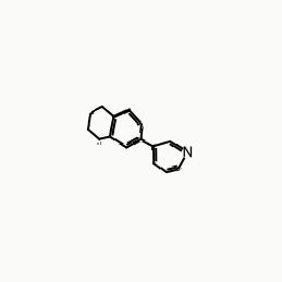 [C]1CCCc2ccc(-c3cccnc3)cc21